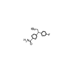 CC(C)(C)CC(c1ccc(F)cc1)c1ccc(C(N)=O)cc1